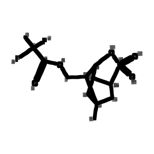 CC(F)(F)C(=O)OCC1C2OS(=O)(=O)C3CC1(C)CC23